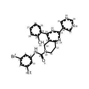 CCc1cc(Br)cc(NC(=O)N2CCc3nc(-c4cncnc4)nc(-c4ccccc4C)c3C2)c1